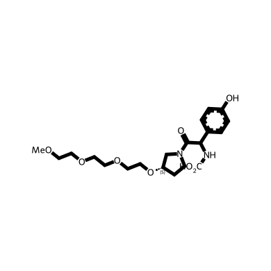 COCCOCCOCCO[C@H]1CCN(C(=O)C(NC(=O)O)c2ccc(O)cc2)C1